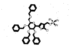 CC(C)[Si](OCc1cc(C2O[C@H](COCc3ccccc3)[C@@H](OCc3ccccc3)[C@@H](OCc3ccccc3)[C@@H]2OCc2ccccc2)sc1Cl)(C(C)C)C(C)C